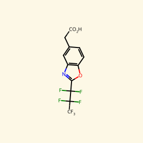 O=C(O)Cc1ccc2oc(C(F)(F)C(F)(F)C(F)(F)F)nc2c1